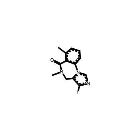 Cc1cccc2c1C(=O)N(C)Cc1c(I)ncn1-2